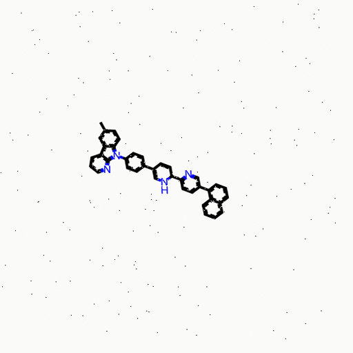 Cc1ccc2c(c1)c1cccnc1n2-c1ccc(C2=CNC(c3ccc(-c4cccc5ccccc45)cn3)C=C2)cc1